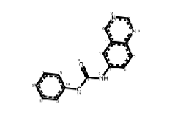 O=C(Nc1ccc2ncncc2c1)Oc1ccccc1